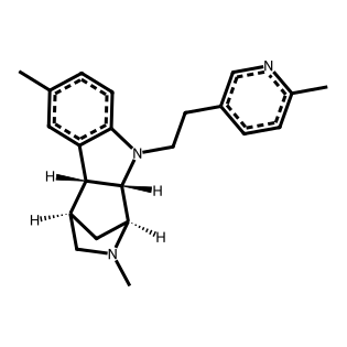 Cc1ccc2c(c1)[C@H]1[C@H]3C[C@@H]([C@H]1N2CCc1ccc(C)nc1)N(C)C3